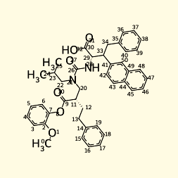 COc1ccccc1OC(=O)[C@@H](CCc1ccccc1)CN(CC(C)C)C(=O)N[C@H](C(=O)O)C(Cc1ccccc1)c1ccc2ccccc2c1